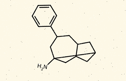 NC12CC(c3ccccc3)CC3CC1CC3C2